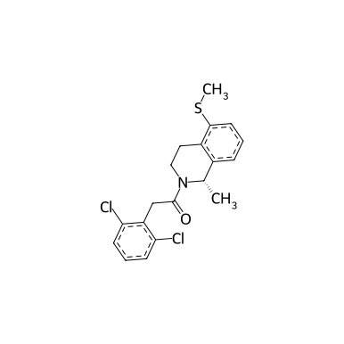 CSc1cccc2c1CCN(C(=O)Cc1c(Cl)cccc1Cl)[C@H]2C